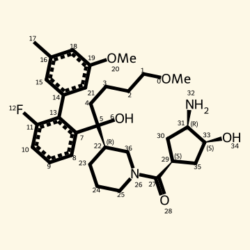 COCCCCC(O)(c1cccc(F)c1-c1cc(C)cc(OC)c1)[C@@H]1CCCN(C(=O)[C@H]2C[C@@H](N)[C@@H](O)C2)C1